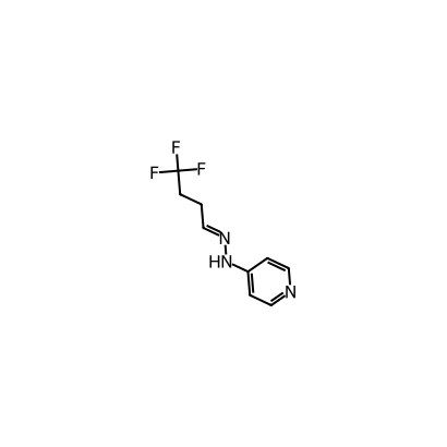 FC(F)(F)CCC=NNc1ccncc1